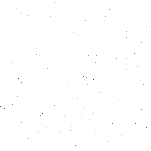 c1ccc(-n2c3ccccc3c3c4cc(-c5ccc(-n6c7ccccc7c7cc(-c8ccc9c(c8)c8ccccc8n9-c8ccc9c(c8)oc8ccccc89)ccc76)cc5)ccc4oc32)cc1